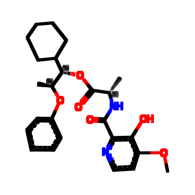 COc1ccnc(C(=O)N[C@@H](C)C(=O)O[C@@H](C2CCCCC2)[C@H](C)Oc2ccccc2)c1O